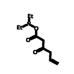 C=CCC(=O)CC(=O)ON(CC)CC